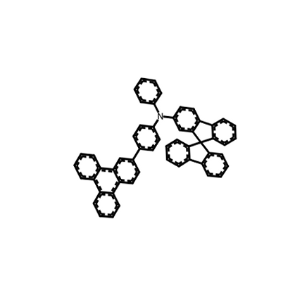 c1ccc(N(c2ccc(-c3ccc4c5ccccc5c5ccccc5c4c3)cc2)c2ccc3c(c2)C2(c4ccccc4-c4ccccc42)c2ccccc2-3)cc1